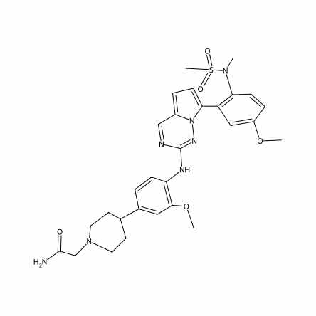 COc1ccc(N(C)S(C)(=O)=O)c(-c2ccc3cnc(Nc4ccc(C5CCN(CC(N)=O)CC5)cc4OC)nn23)c1